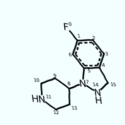 Fc1ccc2c(c1)N(C1CCNCC1)NC2